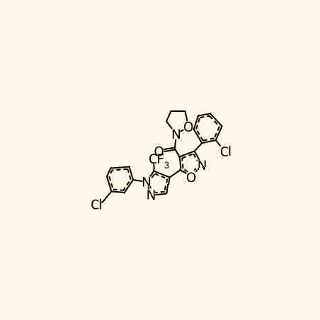 O=C(c1c(-c2ccccc2Cl)noc1-c1cnn(-c2cccc(Cl)c2)c1C(F)(F)F)N1CCCO1